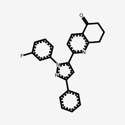 O=C1CCCc2nc(-c3cc(-c4ccccc4)nn3-c3cccc(F)c3)ccc21